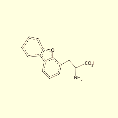 NC(Cc1cccc2c1oc1ccccc12)C(=O)O